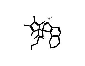 CCCCCC1(C2(C(C)C)C(C)=C(C)C(C)=C2C)C=Cc2ccc3c(c21)CCCC3.[Hf]